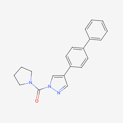 O=C(N1CCCC1)n1cc(-c2ccc(-c3ccccc3)cc2)cn1